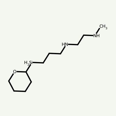 CNCCNCCC[SiH2]C1CCCCO1